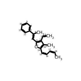 C=Cc1c(/C=C(\C)c2ccccc2)oc(/C=C\C=C/C)c1C